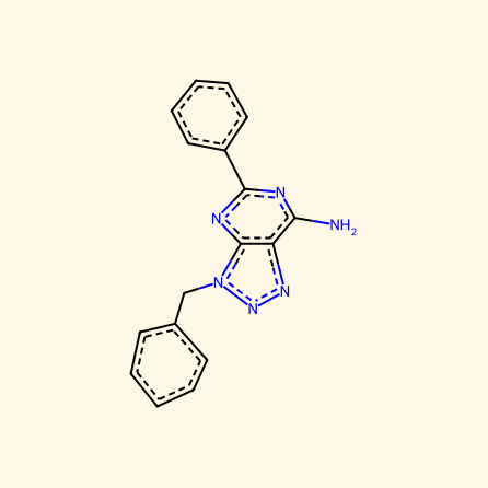 Nc1nc(-c2ccccc2)nc2c1nnn2Cc1ccccc1